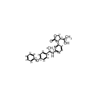 C[C@H](Nc1nccc(N2C(=O)OCC2[C@@H](C)O)n1)c1ccc(Oc2ccccc2)cc1